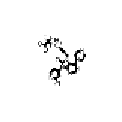 CC#CCn1c(=O)n(-c2ccnc(Cl)c2)c2ncnc(N3CCNCC3)c21.O=C(O)C(F)(F)F